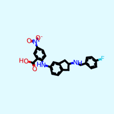 O=C(O)c1cc([N+](=O)[O-])ccc1Nc1ccc2c(c1)CC(NCc1ccc(F)cc1)C2